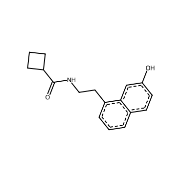 O=C(NCCc1cccc2ccc(O)cc12)C1CCC1